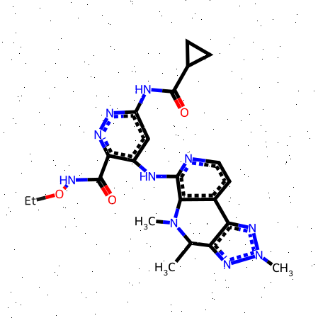 CCONC(=O)c1nnc(NC(=O)C2CC2)cc1Nc1nccc2c1N(C)C(C)c1nn(C)nc1-2